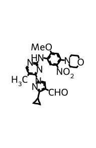 COc1cc(N2CCOCC2)c([N+](=O)[O-])cc1Nc1ncc(C)c(-n2cc(C=O)c(C3CC3)n2)n1